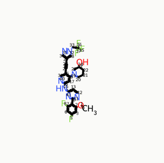 COc1cc(F)cc(F)c1-c1nccc(Nc2cc(N3CCC[C@H](O)C3)c(C#Cc3cnn(CC(F)(F)F)c3)cn2)n1